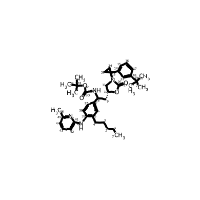 CCCCCc1cc(C(C[C@@H]2CN(C3(c4cccc(C(C)(C)C)c4)CC3)C(=O)O2)NC(=O)OC(C)(C)C)ccc1Nc1cccc(C)n1